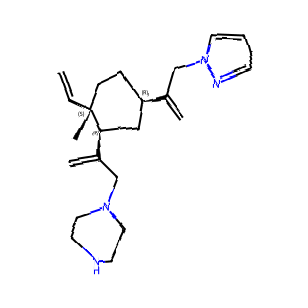 C=C[C@]1(C)CC[C@@H](C(=C)Cn2cccn2)C[C@H]1C(=C)CN1CCNCC1